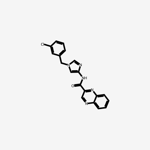 O=C(Nc1cn(Cc2cccc(Cl)c2)cn1)c1cnc2ccccc2n1